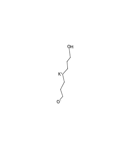 [K+].[O-]CCCCCCCO